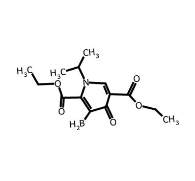 Bc1c(C(=O)OCC)n(C(C)C)cc(C(=O)OCC)c1=O